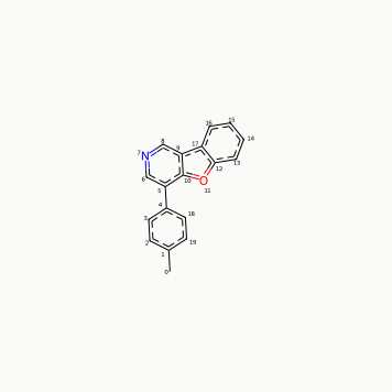 Cc1ccc(-c2cncc3c2oc2ccccc23)cc1